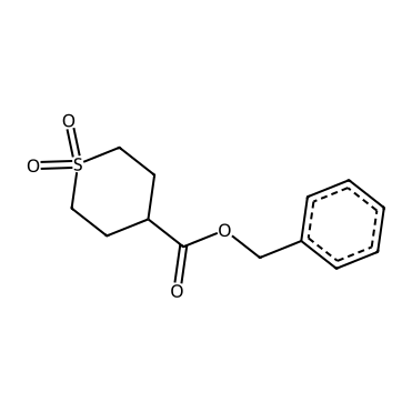 O=C(OCc1ccccc1)C1CCS(=O)(=O)CC1